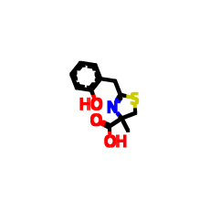 CC1(C(=O)O)CSC(Cc2ccccc2O)=N1